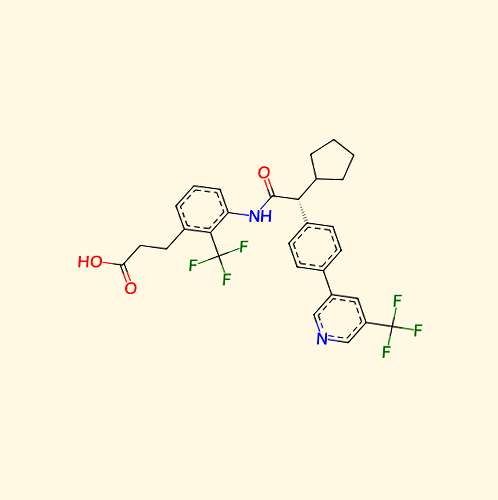 O=C(O)CCc1cccc(NC(=O)[C@@H](c2ccc(-c3cncc(C(F)(F)F)c3)cc2)C2CCCC2)c1C(F)(F)F